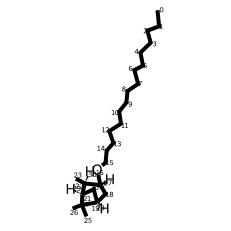 CCCCCCCCCCCCCCCCO[C@@H]1C[C@@H]2C[C@H]([C@H]1C)C2(C)C